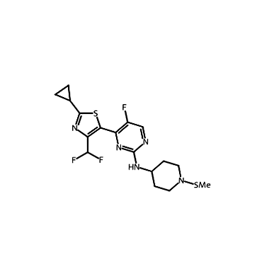 CSN1CCC(Nc2ncc(F)c(-c3sc(C4CC4)nc3C(F)F)n2)CC1